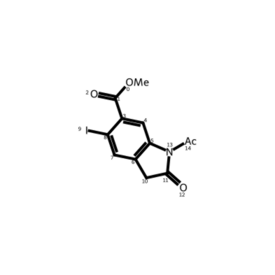 COC(=O)c1cc2c(cc1I)CC(=O)N2C(C)=O